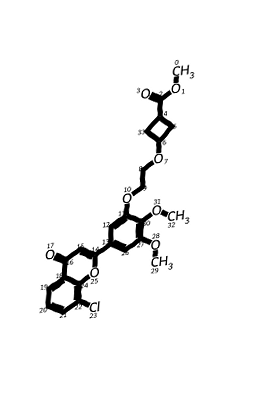 COC(=O)C1CC(OCCOc2cc(-c3cc(=O)c4cccc(Cl)c4o3)cc(OC)c2OC)C1